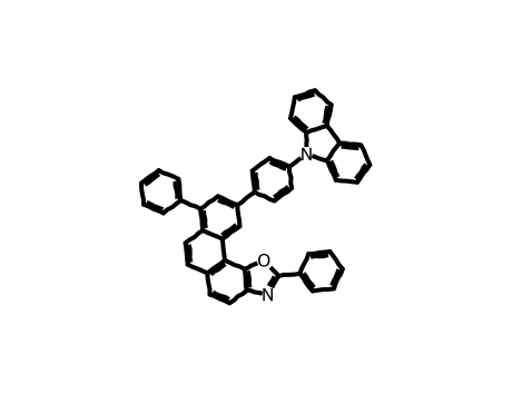 c1ccc(-c2nc3ccc4ccc5c(-c6ccccc6)cc(-c6ccc(-n7c8ccccc8c8ccccc87)cc6)cc5c4c3o2)cc1